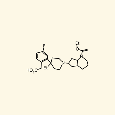 C=C(OCC)N1CCCC2CC(N3CCC(CC)(c4cc(F)ccc4CC(=O)O)CC3)CC21